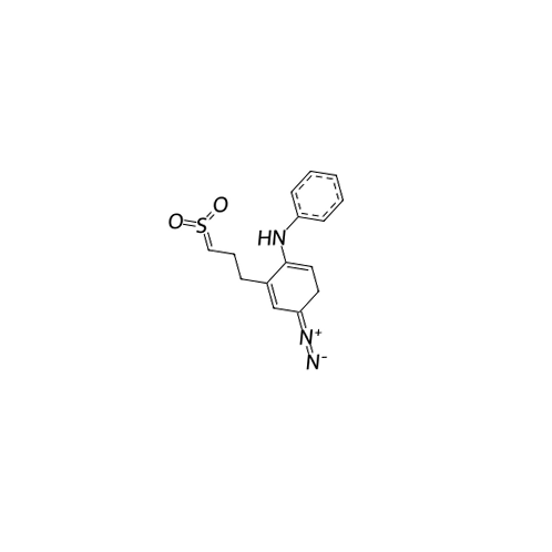 [N-]=[N+]=C1C=C(CCC=S(=O)=O)C(Nc2ccccc2)=CC1